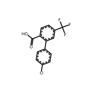 O=C(O)c1ccc(C(F)(F)F)cc1-c1ccc(Cl)cc1